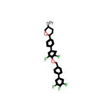 CCCC1CCC(c2ccc(-c3cc(F)c(OCc4ccc(-c5cc(F)c(F)c(F)c5)cc4)c(F)c3)cc2)OC1